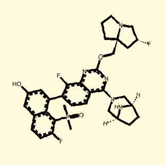 CP(C)(=O)c1c(F)ccc2cc(O)cc(-c3ccc4c(N5C[C@H]6CC[C@@H](C5)N6)nc(OC[C@@]56CCCN5C[C@H](F)C6)nc4c3F)c12